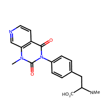 CNC(Cc1ccc(-n2c(=O)c3ccncc3n(C)c2=O)cc1)C(=O)O